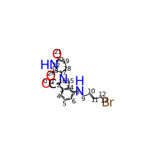 O=C=C1c2cccc(NCC=CCBr)c2CN1C1CCC(=O)NC1=O